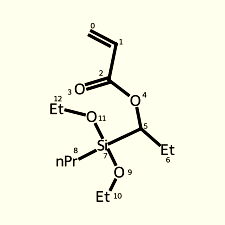 C=CC(=O)OC(CC)[Si](CCC)(OCC)OCC